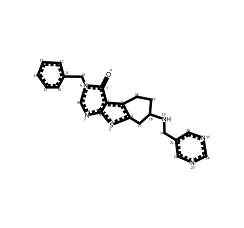 O=c1c2c3c(sc2ncn1Cc1ccccc1)CC(NCc1cncnc1)CC3